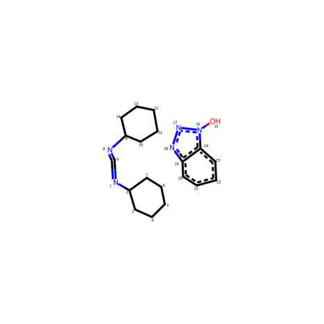 C(=NC1CCCCC1)=NC1CCCCC1.On1nnc2ccccc21